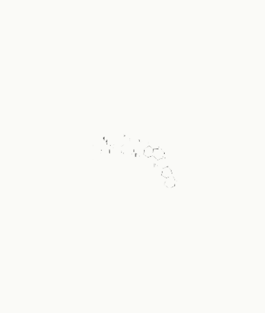 CN[C@@H](C)C(=O)N[C@H](C(=O)N1CCC[C@H]1C(=O)Nc1cc2c(Nc3ccc4ncccc4c3)ncnc2cc1OC)C(C)(C)C